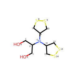 OCC(CO)N(C1CSSC1)C1CSSC1